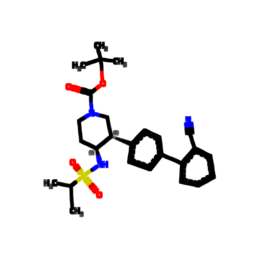 CC(C)S(=O)(=O)N[C@H]1CCN(C(=O)OC(C)(C)C)C[C@@H]1c1ccc(-c2ccccc2C#N)cc1